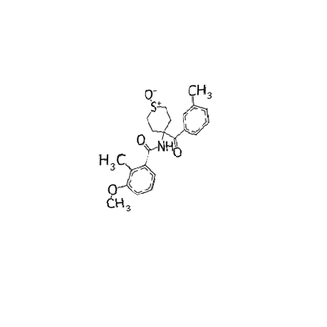 COc1cccc(C(=O)NC2(C(=O)c3cccc(C)c3)CC[S+]([O-])CC2)c1C